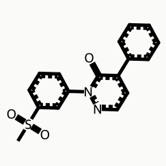 CS(=O)(=O)c1cccc(-n2nccc(-c3ccccc3)c2=O)c1